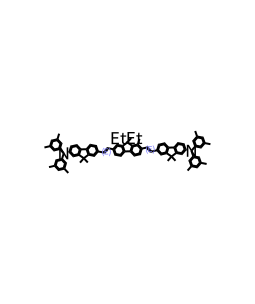 CCC1(CC)c2cc(/C=C/c3ccc4c(c3)C(C)(C)c3cc(N(c5cc(C)cc(C)c5)c5cc(C)cc(C)c5)ccc3-4)ccc2-c2ccc(/C=C/c3ccc4c(c3)C(C)(C)c3cc(N(c5cc(C)cc(C)c5)c5cc(C)cc(C)c5)ccc3-4)c(C)c21